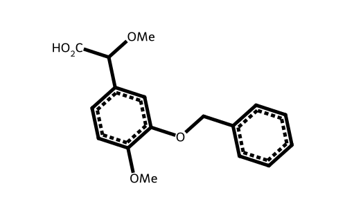 COc1ccc(C(OC)C(=O)O)cc1OCc1ccccc1